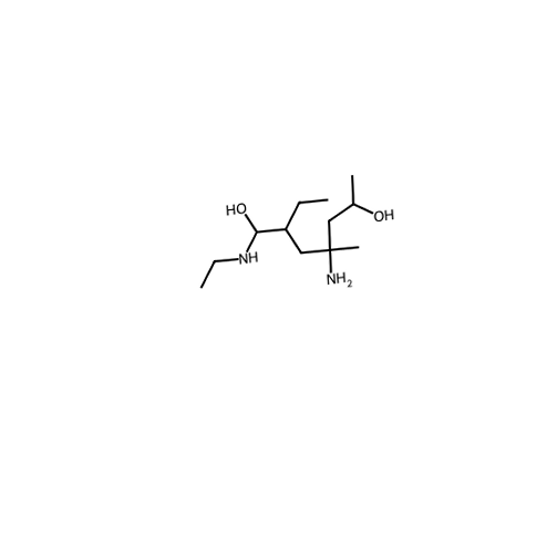 CCNC(O)C(CC)CC(C)(N)CC(C)O